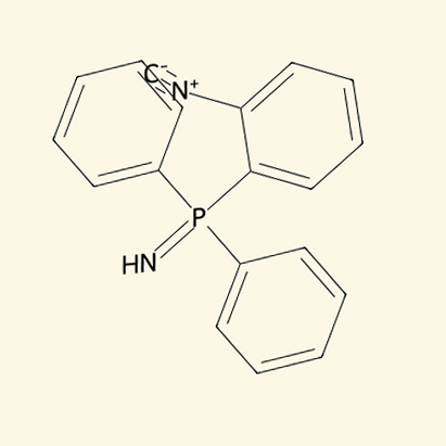 [C-]#[N+]c1ccccc1P(=N)(c1ccccc1)c1ccccc1